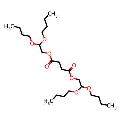 CCCCOC(COC(=O)CCC(=O)OCC(OCCCC)OCCCC)OCCCC